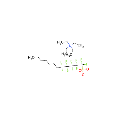 CCCCCCCC(F)(F)C(F)(F)C(F)(F)C(F)(F)C(F)(F)S(=O)(=O)[O-].CC[N+](CC)(CC)CC